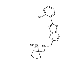 CCOC(=O)C1(CNCc2ccc3oc(-c4ccccc4C#N)cc3c2)CCCC1